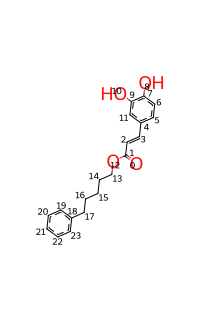 O=C(/C=C/c1ccc(O)c(O)c1)OCCCCCc1ccccc1